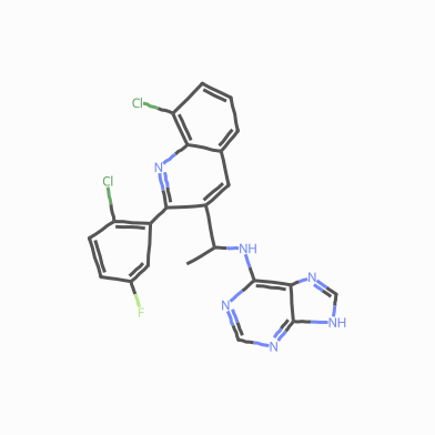 CC(Nc1ncnc2[nH]cnc12)c1cc2cccc(Cl)c2nc1-c1cc(F)ccc1Cl